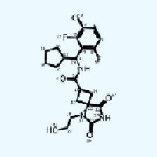 O=C(N[C@H](c1c(F)ccc(Cl)c1F)C1CCCC1)C1CC2(C1)C(=O)NC(=O)N2CCO